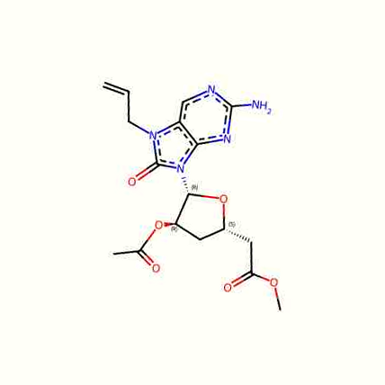 C=CCn1c(=O)n([C@@H]2O[C@H](CC(=O)OC)C[C@H]2OC(C)=O)c2nc(N)ncc21